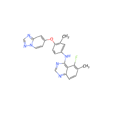 Cc1cc(Nc2ncnc3ccc(C)c(F)c23)ccc1Oc1ccn2ncnc2c1